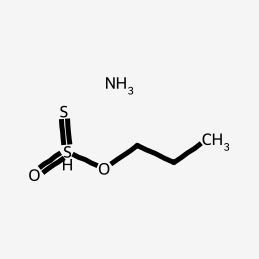 CCCO[SH](=O)=S.N